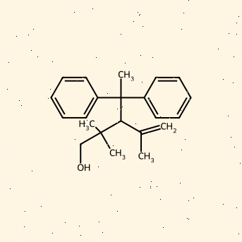 C=C(C)C(C(C)(C)CO)C(C)(c1ccccc1)c1ccccc1